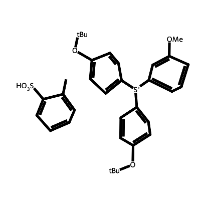 COc1cccc([S+](c2ccc(OC(C)(C)C)cc2)c2ccc(OC(C)(C)C)cc2)c1.Cc1ccccc1S(=O)(=O)O